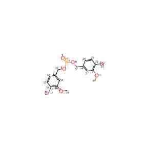 COc1cc(CO[PH](=O)OCc2ccc(Br)c(OC)c2)ccc1Br